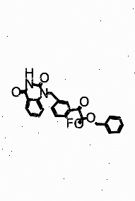 O=C(OCc1ccccc1)C(=O)c1cc(Cn2c(=O)[nH]c(=O)c3ccccc32)ccc1F